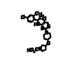 C[C@@H](Nc1nc(N2CCC(OC3CCN(C(=O)O)C3)CC2)ncc1Cl)c1ccc(Cl)cc1Cl